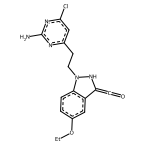 CCOc1ccc2c(c1)C(=C=O)NN2CCc1cc(Cl)nc(N)n1